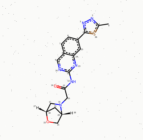 Cc1nnc(-c2ccc3cnc(NC(=O)CN4C[C@@H]5C[C@H]4CO5)nc3c2)s1